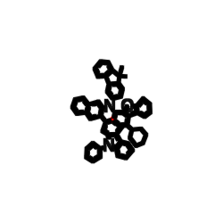 CC1(C)c2ccccc2-c2cc(N(c3cc4ccccc4cc3-c3ccc4c5ccccc5n(-c5ccccc5)c4c3)c3ccc(C4CCCCC4)c4c3oc3ccccc34)ccc21